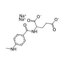 CNc1ccc(C(=O)NC(CCC(=O)[O-])C(=O)[O-])cc1.[Na+].[Na+]